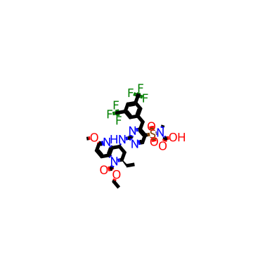 CCOC(=O)N1c2ccc(OC)nc2[C@@H](Nc2ncc(S(=O)(=O)N(C)C(=O)O)c(Cc3cc(C(F)(F)F)cc(C(F)(F)F)c3)n2)C[C@H]1CC